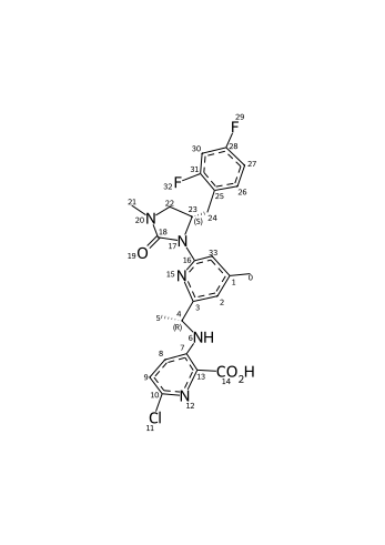 Cc1cc([C@@H](C)Nc2ccc(Cl)nc2C(=O)O)nc(N2C(=O)N(C)C[C@@H]2Cc2ccc(F)cc2F)c1